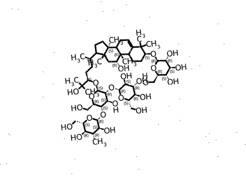 C[C@H]1[C@H](O)[C@@H](O[C@H]2[C@H](O)[C@@H](O[C@H]3O[C@@H](CO)[C@H](O)[C@@H](O)[C@@H]3O)[C@H](O[C@H](CC[C@@H](C)C3CC[C@@]4(C)C5CC=C6C(CC[C@H](O[C@@H]7O[C@H](CO)[C@@H](O)[C@H](O)[C@H]7O)C6(C)C)[C@]5(C)[C@H](O)C[C@]34C)C(C)(C)O)O[C@@H]2CO)O[C@@H](CO)[C@@H]1O